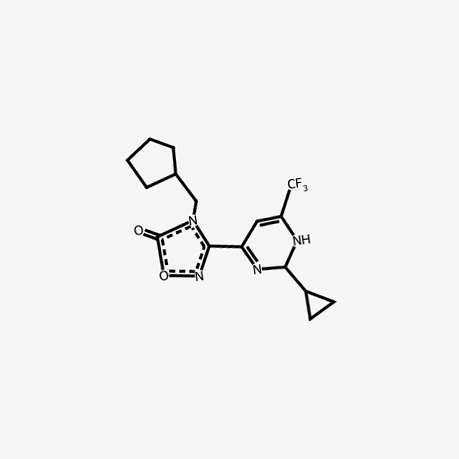 O=c1onc(C2=NC(C3CC3)NC(C(F)(F)F)=C2)n1CC1CCCC1